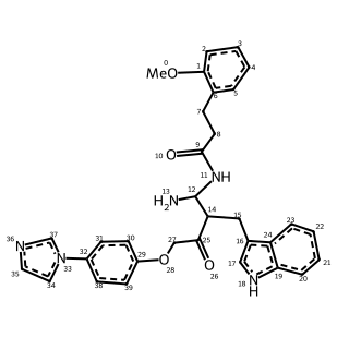 COc1ccccc1CCC(=O)NC(N)C(Cc1c[nH]c2ccccc12)C(=O)COc1ccc(-n2ccnc2)cc1